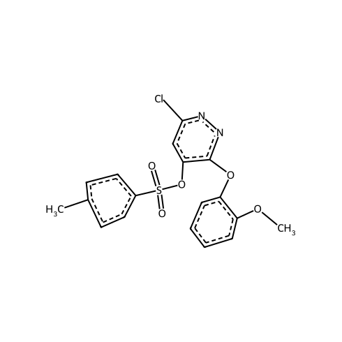 COc1ccccc1Oc1nnc(Cl)cc1OS(=O)(=O)c1ccc(C)cc1